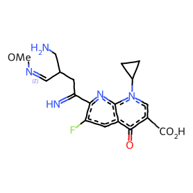 CO/N=C\C(CN)CC(=N)c1nc2c(cc1F)c(=O)c(C(=O)O)cn2C1CC1